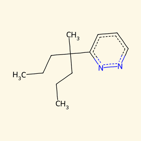 CCCC(C)(CCC)c1cccnn1